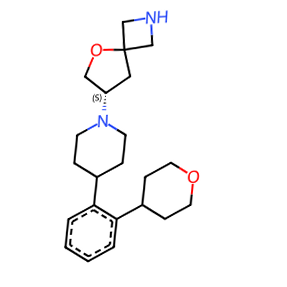 c1ccc(C2CCN([C@@H]3COC4(CNC4)C3)CC2)c(C2CCOCC2)c1